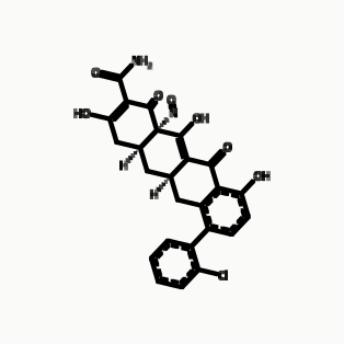 NC(=O)C1=C(O)C[C@@H]2C[C@@H]3Cc4c(-c5ccccc5Cl)ccc(O)c4C(=O)C3=C(O)[C@]2(N=O)C1=O